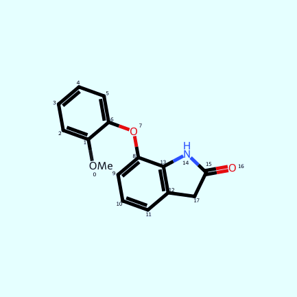 COc1ccccc1Oc1cccc2c1NC(=O)C2